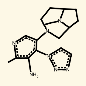 Cc1ncc(N2CCC3CCC(C2)N3C)c(-n2ccnn2)c1N